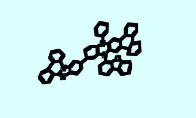 c1ccc(N2c3ccc(-c4ccc5nc6c7ccccc7c7ccccc7n6c5c4)cc3N(c3cccc4c3oc3ccccc34)c3cc4c5ccccc5c5ccccc5c4cc32)cc1